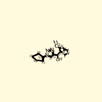 Cc1sc2cncn2c1C(O)c1cn(C2CCCC2)nn1